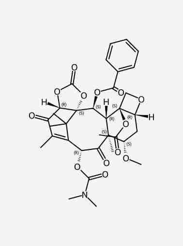 CO[C@H]1C[C@H]2OC[C@@]2(OC(C)=O)[C@H]2[C@H](OC(=O)c3ccccc3)[C@]34OC(=O)O[C@H]3C(=O)C(C)=C([C@@H](OC(=O)N(C)C)C(=O)[C@]12C)C4(C)C